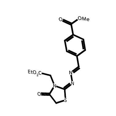 CCOC(=O)CN1C(=O)CSC1=NN=Cc1ccc(C(=O)OC)cc1